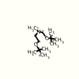 CN(CCOC(C)(C)C)COC(C)(C)C